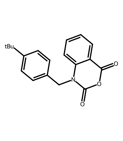 CC(C)(C)c1ccc(Cn2c(=O)oc(=O)c3ccccc32)cc1